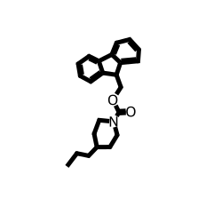 CCCC1CCN(C(=O)OCC2c3ccccc3-c3ccccc32)CC1